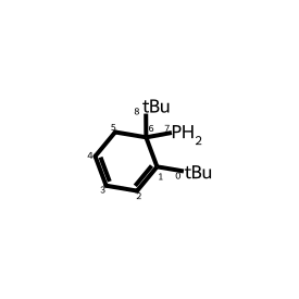 CC(C)(C)C1=CC=CCC1(P)C(C)(C)C